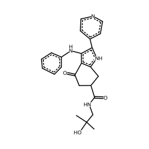 CC(C)(O)CNC(=O)C1CC(=O)c2c([nH]c(-c3ccncc3)c2Nc2ccccc2)C1